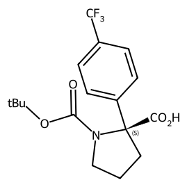 CC(C)(C)OC(=O)N1CCC[C@@]1(C(=O)O)c1ccc(C(F)(F)F)cc1